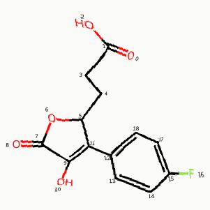 O=C(O)CCC1OC(=O)C(O)=C1c1ccc(F)cc1